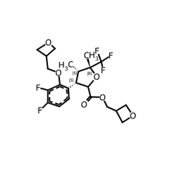 C[C@H]1[C@@H](c2ccc(F)c(F)c2OCC2COC2)C(C(=O)OCC2COC2)O[C@@]1(C)C(F)(F)F